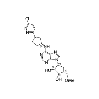 COC[C@H]1C[C@@H](n2cnc3c(N[C@H]4CCN(c5ccc(Cl)nn5)C4)ncnc32)[C@H](O)[C@@H]1O